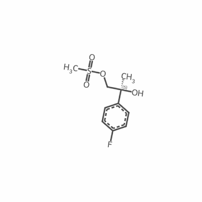 C[C@@](O)(COS(C)(=O)=O)c1ccc(F)cc1